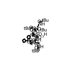 CN(Oc1cnn(C[C@@H]2[C@H](NC(=O)C(=NOC3(C(=O)OC(c4ccccc4)c4ccccc4)CC3)c3csc(NC(=O)OC(C)(C)C)n3)C(=O)N2S(=O)(=O)O)n1)C(=NC(=O)OC(C)(C)C)N(CCCNC(=O)CC(C)(C)C)C(=O)OC(C)(C)C